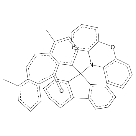 Cc1cccc2c(=O)c3c(C4(N5c6ccccc6Oc6ccccc65)c5ccccc5-c5ccccc54)ccc(C)c3ccc12